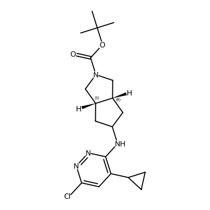 CC(C)(C)OC(=O)N1C[C@H]2CC(Nc3nnc(Cl)cc3C3CC3)C[C@H]2C1